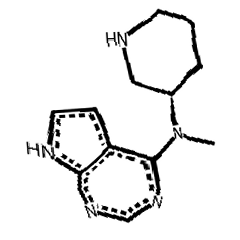 CN(c1ncnc2[nH]ccc12)[C@@H]1CCCNC1